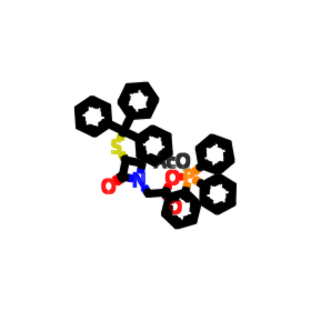 CC(=O)OP(OC(=O)CN1CC(SC(c2ccccc2)(c2ccccc2)c2ccccc2)C1=O)(c1ccccc1)(c1ccccc1)c1ccccc1